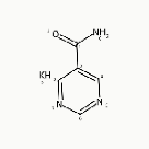 NC(=O)c1cncnc1.[KH]